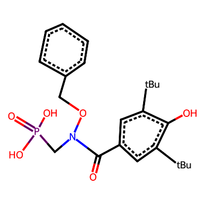 CC(C)(C)c1cc(C(=O)N(CP(=O)(O)O)OCc2ccccc2)cc(C(C)(C)C)c1O